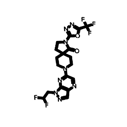 O=C1N(c2nnc(C(F)(F)F)o2)CCC12CCN(c1cnc3cnn(CC(F)F)c3n1)CC2